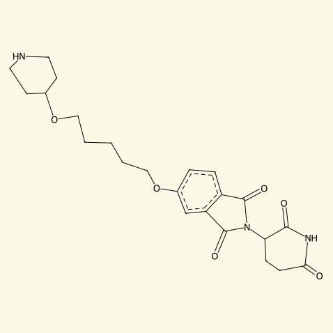 O=C1CCC(N2C(=O)c3ccc(OCCCCCOC4CCNCC4)cc3C2=O)C(=O)N1